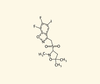 CN1OC(C)(C)CC1S(=O)(=O)Cc1noc2c(F)c(F)c(I)cc12